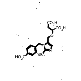 CCCCc1ncc(CS[C@@H](CC(=O)O)C(=O)O)n1Cc1ccc(C(=O)O)cc1